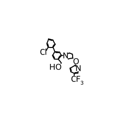 OCc1ccc(-c2ccccc2Cl)cc1N1CCC(Oc2ccc(C(F)(F)F)cn2)C1